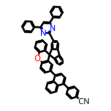 N#Cc1ccc(-c2ccc(-c3ccc4c(c3)C3(c5ccccc5O4)c4ccccc4-c4ccc(-c5nc(-c6ccccc6)cc(-c6ccccc6)n5)cc43)c3ccccc23)cc1